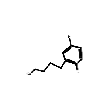 Fc1ccc(F)c(CCCCCl)c1